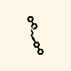 C(#Cc1ccc(-c2ccccc2)cc1)CCC[n+]1cccc(-c2ccccc2)c1